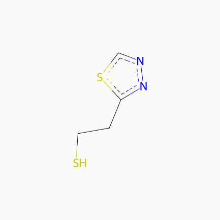 SCCc1nncs1